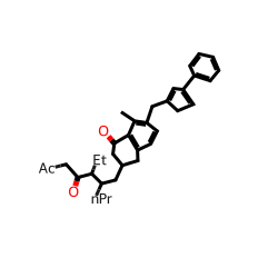 CCCC(CC1CC(=O)c2c(ccc(CC3=CC(c4ccccc4)=CC3)c2C)C1)C(CC)C(=O)CC(C)=O